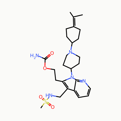 CC(C)=C1CCC(N2CCC(n3c(CCOC(N)=O)c(CNS(C)(=O)=O)c4cccnc43)CC2)CC1